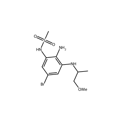 COCC(C)Nc1cc(Br)cc(NS(C)(=O)=O)c1N